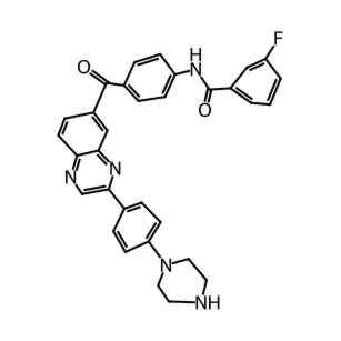 O=C(Nc1ccc(C(=O)c2ccc3ncc(-c4ccc(N5CCNCC5)cc4)nc3c2)cc1)c1cccc(F)c1